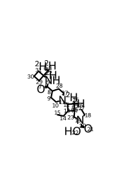 [2H]C([2H])([2H])C1(NC(=O)C2CCN(C3C(CC)[C@@]4(CCN(C(=O)O)C4)C3([2H])[2H])CC2)CCC1